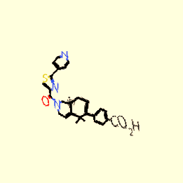 CC1(C)C(c2ccc(C(=O)O)cc2)=CC[C@]2(C)CN(C(=O)c3csc(-c4ccncc4)n3)CC=C12